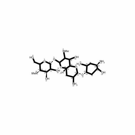 CNC1C(O[C@H]2OC(CO)[C@@H](NC)[C@H](O)C2O)O[C@H]2CC(N)[C@@H](O[C@H]3CC(O)[C@H](N)CC3N)OC2C1O